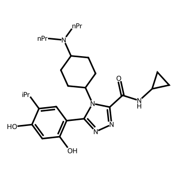 CCCN(CCC)C1CCC(n2c(C(=O)NC3CC3)nnc2-c2cc(C(C)C)c(O)cc2O)CC1